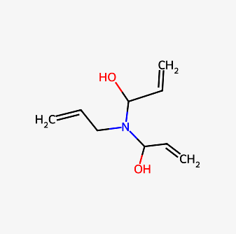 C=CCN(C(O)C=C)C(O)C=C